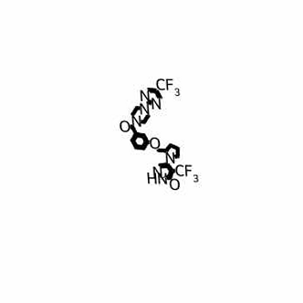 O=C(c1cccc(OCC2CCCN2c2cn[nH]c(=O)c2C(F)(F)F)c1)N1CCN(c2ncc(C(F)(F)F)cn2)CC1